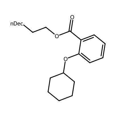 CCCCCCCCCCCCOC(=O)c1ccccc1OC1CCCCC1